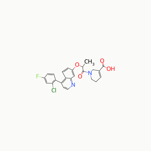 CC(Oc1ccc2c(-c3ccc(F)cc3Cl)ccnc2c1)C(=O)N1CCC=C(C(=O)O)C1